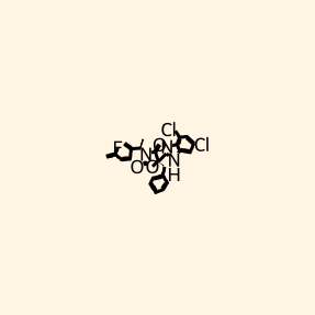 C=C(F)/C=C\C(=C)[C@@H](C)N1C(=O)O[C@](Cc2ccccc2)(c2nc3c(Cl)cc(Cl)cc3[nH]2)C1=O